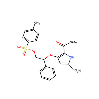 CNC(=O)c1[nH]c(C(=O)O)cc1OC(COS(=O)(=O)c1ccc(C)cc1)c1ccccc1